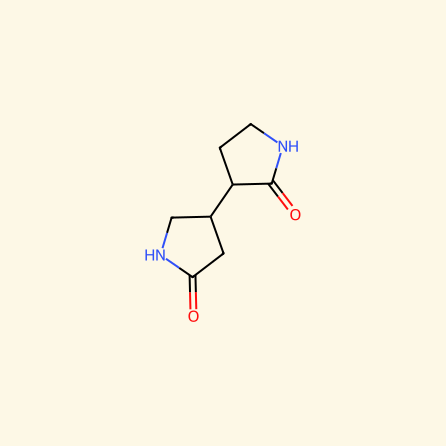 O=C1CC(C2CCNC2=O)CN1